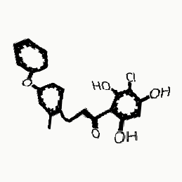 Cc1cc(Oc2ccccc2)ccc1CCC(=O)c1c(O)cc(O)c(Cl)c1O